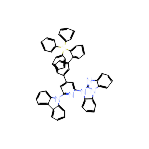 c1ccc(S(c2ccccc2)(c2ccccc2)c2ccccc2-c2cccc(-c3cc(-n4c5ccccc5c5ccccc54)nc(-n4c5ccccc5n5c6ccccc6nc45)c3)c2)cc1